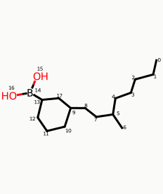 CCCCCC(C)CCC1CCCC(B(O)O)C1